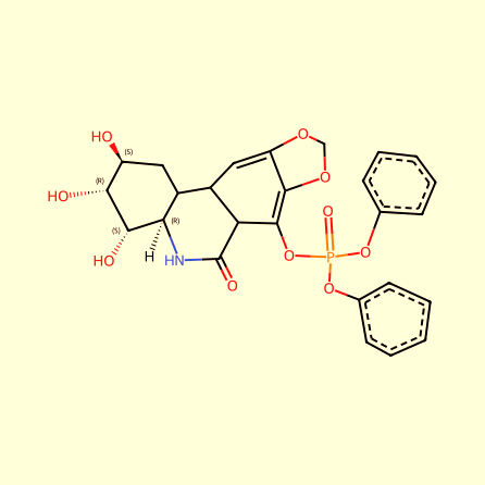 O=C1N[C@@H]2C(C[C@H](O)[C@@H](O)[C@H]2O)C2C=C3OCOC3=C(OP(=O)(Oc3ccccc3)Oc3ccccc3)C12